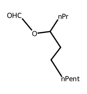 CCCCCCCC(CCC)OC=O